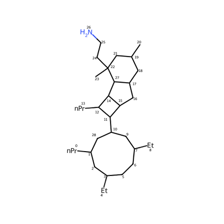 CCCC1CC(CC)CCC(CC)CC(C2C(CCC)C3C2CC2CC(C)CC(C)(CCN)C23)C1